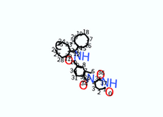 O=C1CCC(N2Cc3cc(C(=O)NC(C4CCCCCCC4)C4CCCCCCC4)ccc3C2=O)C(=O)N1